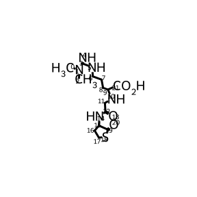 CN(C)C(=N)NCCCC(NCC(=O)NC1CCSC1=O)C(=O)O